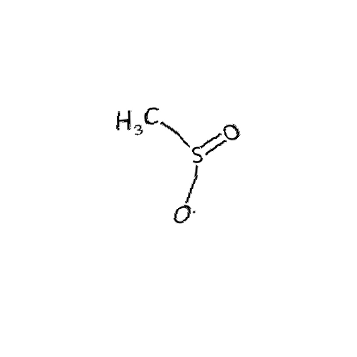 CS([O])=O